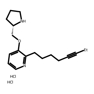 CCC#CCCCCc1ncccc1OC[C@@H]1CCCN1.Cl.Cl